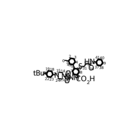 Cc1cccc(-c2cc(NS(=O)(=O)N3CCN(c4ccc(C(C)(C)C)cc4)CC3)c(C(=O)O)cc2SCCC(=O)Nc2ccccc2)c1